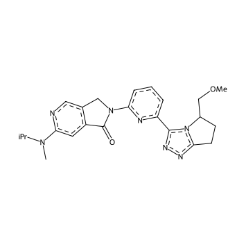 COCC1CCc2nnc(-c3cccc(N4Cc5cnc(N(C)C(C)C)cc5C4=O)n3)n21